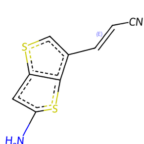 N#C/C=C/c1csc2cc(N)sc12